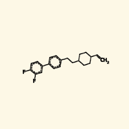 C=CC1CCC(CCc2ccc(-c3ccc(F)c(F)c3)cc2)CC1